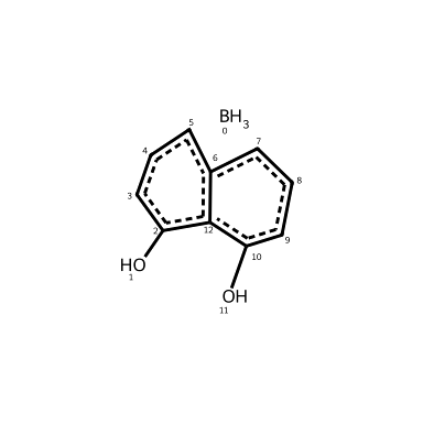 B.Oc1cccc2cccc(O)c12